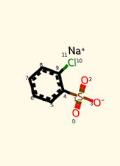 O=S(=O)([O-])c1ccccc1Cl.[Na+]